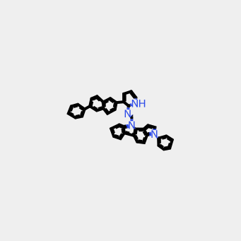 C1=CNC(/N=C/n2c3ccccc3c3ccc4c(ccn4-c4ccccc4)c32)C(c2ccc3cc(-c4ccccc4)ccc3c2)=C1